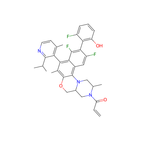 C=CC(=O)N1CC2COc3c(C)c(-c4c(C)ccnc4C(C)C)c4c(F)c(-c5c(O)cccc5F)c(F)cc4c3N2CC1C